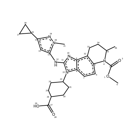 COC(=O)N1c2ccc3c(nc(Nc4cc(C5CC5)nn4C)n3C3CCC(C(=O)O)CC3)c2CCC1C